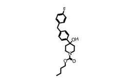 CCCCOC(=O)N1CCC(O)(c2ccc(Cc3ccc(F)cc3)cc2)CC1